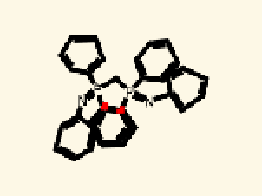 c1ccc(N=P(CP(=Nc2ccccc2)(c2ccccc2)c2ccccc2)(c2ccccc2)c2ccccc2)cc1